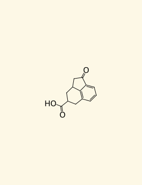 O=C1CC2CC(C(=O)O)Cc3cccc1c32